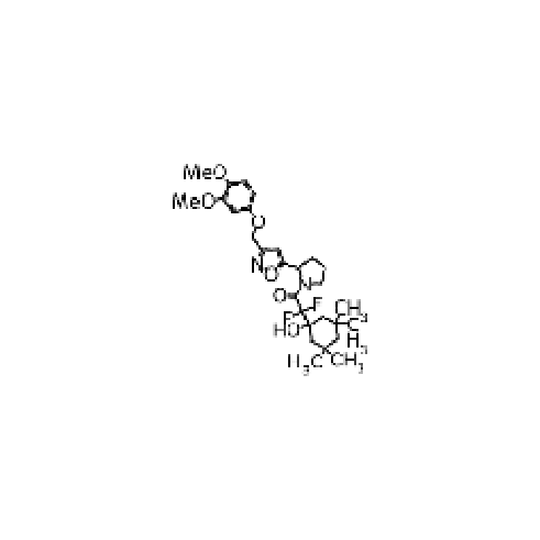 COc1ccc(OCc2cc(C3CCCN3C(=O)C(F)(F)C3(O)CC(C)(C)CC(C)(C)C3)on2)cc1OC